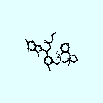 CCOC(=O)CC(c1ccc(C)c(CN2C[C@H]3CCCN3c3ncccc3S2(=O)=O)c1)c1cc2cc(C)nnc2n1C